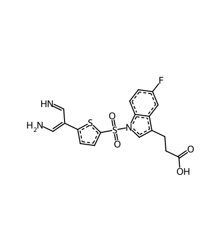 N=C/C(=C\N)c1ccc(S(=O)(=O)n2cc(CCC(=O)O)c3cc(F)ccc32)s1